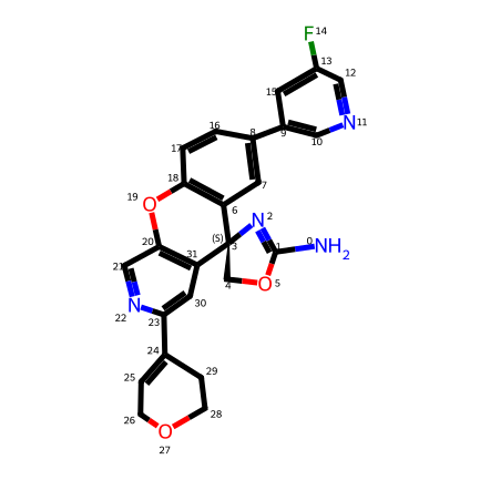 NC1=N[C@@]2(CO1)c1cc(-c3cncc(F)c3)ccc1Oc1cnc(C3=CCOCC3)cc12